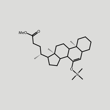 COC(=O)CC[C@@H](C)C1CCC2C3C(O[Si](C)(C)C)=CC4CCCC[C@]4(C)C3CC[C@@]21C